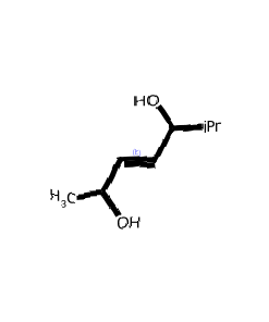 CC(O)/C=C/C(O)C(C)C